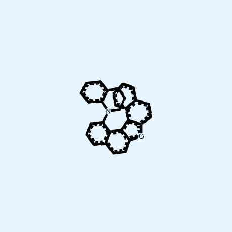 c1ccc2c(c1)CCCN2c1cccc2ccc3oc4ccc5ccccc5c4c3c12